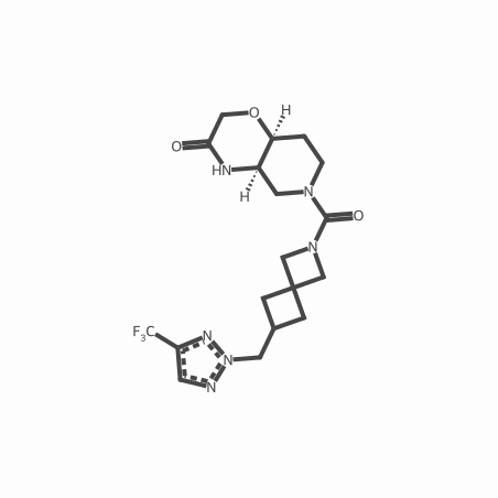 O=C1CO[C@H]2CCN(C(=O)N3CC4(CC(Cn5ncc(C(F)(F)F)n5)C4)C3)C[C@H]2N1